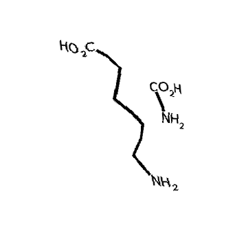 NC(=O)O.NCCCCC(=O)O